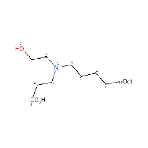 CCCCCCCCCCCCN(CCO)CCC(=O)O